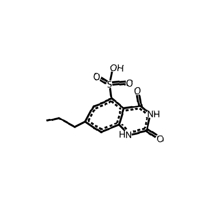 CCCc1cc(S(=O)(=O)O)c2c(=O)[nH]c(=O)[nH]c2c1